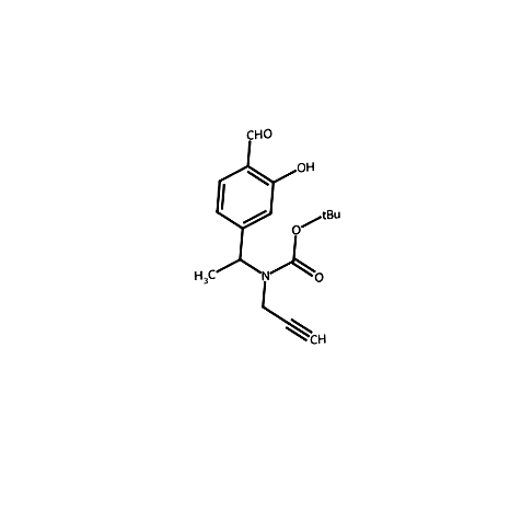 C#CCN(C(=O)OC(C)(C)C)C(C)c1ccc(C=O)c(O)c1